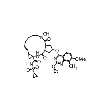 CCOc1nc(OC2CC3C(=O)NC4(C(=O)NS(=O)(=O)C5CC5)CC4/C=C/CCCCN(C)C(=O)C3C2)c2ccc(OC)c(C)c2n1